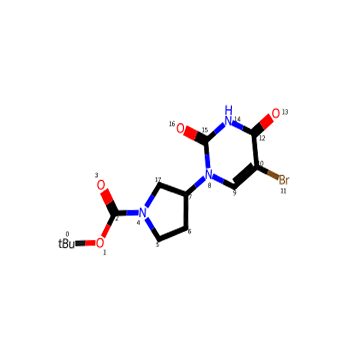 CC(C)(C)OC(=O)N1CCC(n2cc(Br)c(=O)[nH]c2=O)C1